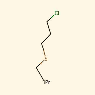 CC(C)CSCCCCl